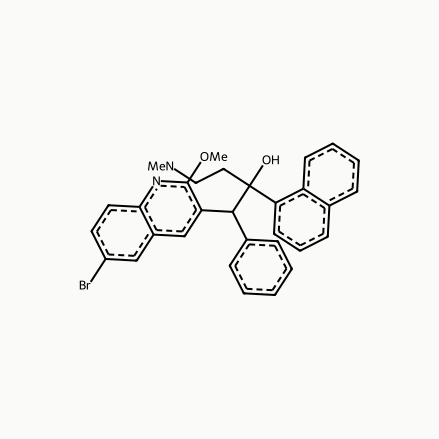 CNCCC(O)(c1cccc2ccccc12)C(c1ccccc1)c1cc2cc(Br)ccc2nc1OC